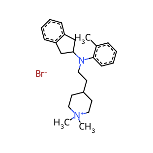 Cc1ccccc1N(CCC1CC[N+](C)(C)CC1)C1Cc2ccccc2C1.[Br-]